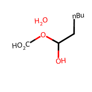 CCCCCC(O)OC(=O)O.O